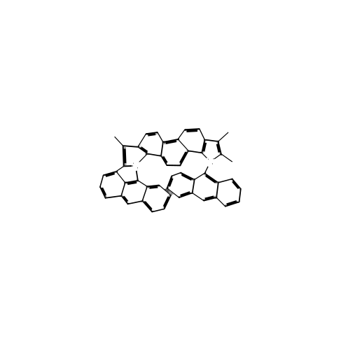 Cc1c(C)n(-c2c3ccccc3cc3ccccc23)c2c1ccc1c3ccc4c(C)c5c6cccc7cc8ccccc8c(c76)n5c4c3ccc12